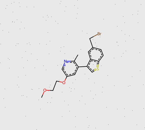 COCCOc1cnc(C)c(-c2csc3ccc(CBr)cc23)c1